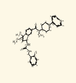 CN(C(=O)c1ccc2c(c1)C(NC(=O)NCc1ccccc1Cl)CC2(C)C)C1CCN(c2ccncc2)CC1